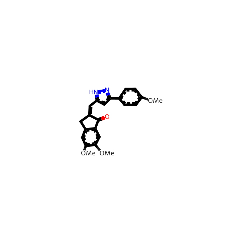 COc1ccc(-c2cc(C=C3Cc4cc(OC)c(OC)cc4C3=O)[nH]n2)cc1